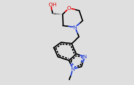 Cn1cnc2c(CN3CCO[C@@H](CO)C3)cccc21